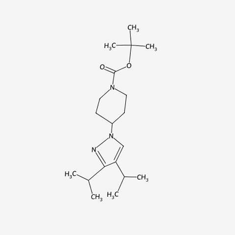 CC(C)c1cn(C2CCN(C(=O)OC(C)(C)C)CC2)nc1C(C)C